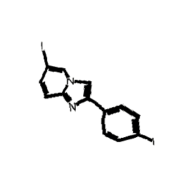 Ic1ccc(-c2cn3cc(I)ccc3n2)cc1